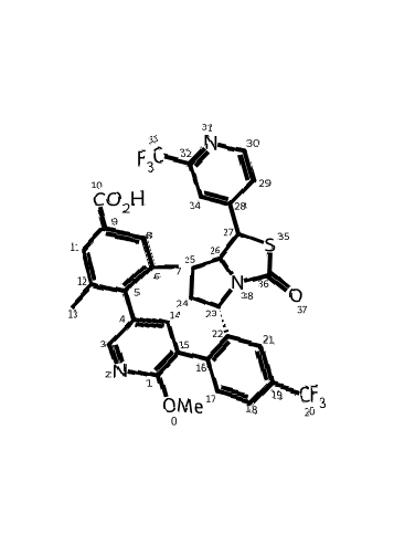 COc1ncc(-c2c(C)cc(C(=O)O)cc2C)cc1-c1ccc(C(F)(F)F)cc1[C@@H]1CCC2C(c3ccnc(C(F)(F)F)c3)SC(=O)N21